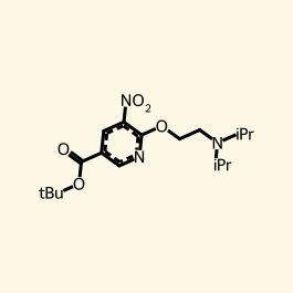 CC(C)N(CCOc1ncc(C(=O)OC(C)(C)C)cc1[N+](=O)[O-])C(C)C